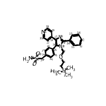 C[Si](C)(C)CCOCn1c(-c2ccccc2)nc(-c2ccncc2)c1-c1ccc(CS(N)(=O)=O)cc1